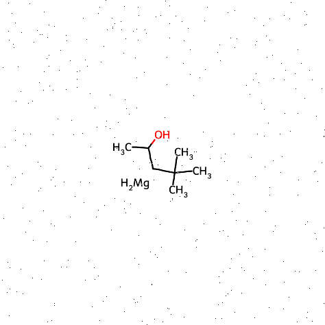 CC(O)CC(C)(C)C.[MgH2]